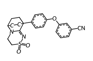 N#Cc1cccc(Oc2ccc(C34CCC(CC3)N3CCS(=O)(=O)N=C34)cc2)c1